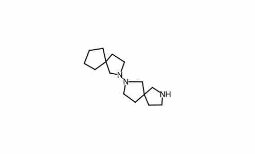 C1CCC2(C1)CCN(N1CCC3(CCNC3)C1)C2